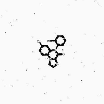 O=c1c2nccn2c2ccc(Cl)cc2n1-c1ccccc1Br